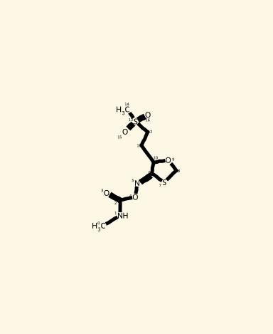 CNC(=O)ON=C1SCOC1CCS(C)(=O)=O